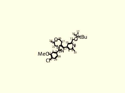 COc1cc(-c2nc(-c3cc(C)nc(CO[Si](C)(C)C(C)(C)C)c3)c3n2CC(C)OCC3)ccc1Cl